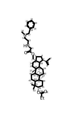 C=C(C)[C@@H]1CC[C@]2(COC(=O)CNCCN(C)Cc3ccccc3)CC[C@]3(C)C(CCC4[C@@]5(C)CC[C@H](OC(=O)CC)C(C)(C)C5CC[C@]43C)C12